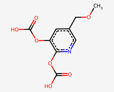 COCc1cnc(OC(=O)O)c(OC(=O)O)c1